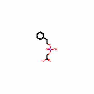 O=C(O)COP(=O)(O)OCCc1ccccc1